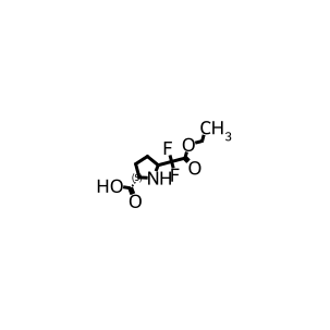 CCOC(=O)C(F)(F)C1CC[C@@H](C(=O)O)N1